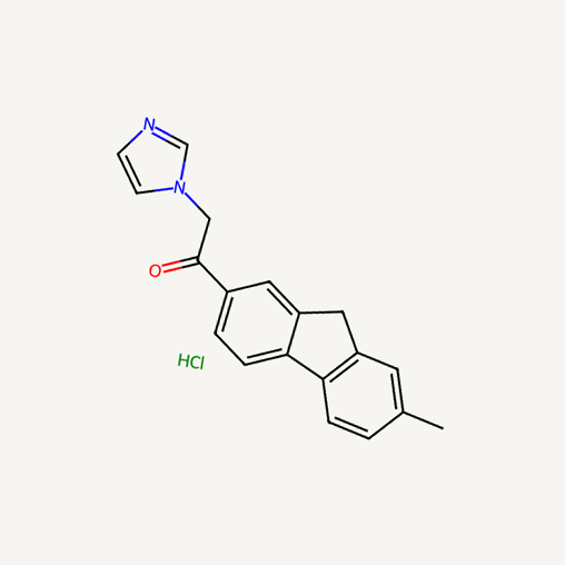 Cc1ccc2c(c1)Cc1cc(C(=O)Cn3ccnc3)ccc1-2.Cl